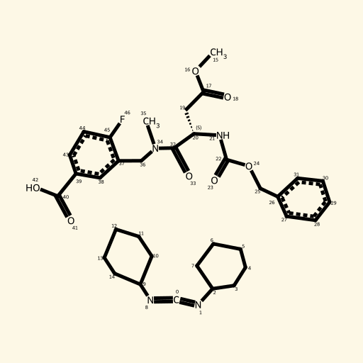 C(=NC1CCCCC1)=NC1CCCCC1.COC(=O)C[C@H](NC(=O)OCc1ccccc1)C(=O)N(C)Cc1cc(C(=O)O)ccc1F